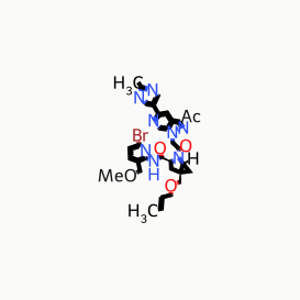 C/C=C/COC[C@@]12C[C@@H](C(=O)Nc3nc(Br)ccc3COC)N(C(=O)Cn3nc(C(C)=O)c4cc(-c5cnc(C)nc5)ncc43)[C@@H]1C2